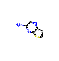 Nc1cnc2ccsc2n1